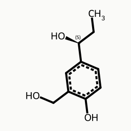 CC[C@H](O)c1ccc(O)c(CO)c1